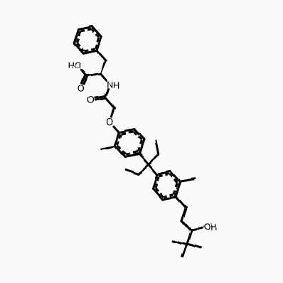 CCC(CC)(c1ccc(CCC(O)C(C)(C)C)c(C)c1)c1ccc(OCC(=O)N[C@H](Cc2ccccc2)C(=O)O)c(C)c1